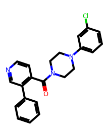 O=C(c1ccncc1-c1ccccc1)N1CCN(c2cccc(Cl)c2)CC1